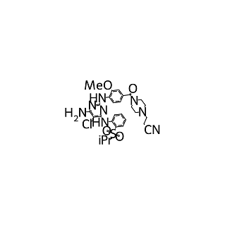 COc1cc(C(=O)N2CCN(CCC#N)CC2)ccc1Nc1nc(N)c(Cl)c(Nc2ccccc2S(=O)(=O)C(C)C)n1